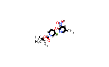 Cc1cnc(OC2CCN(C(=O)OC(C)(C)C)CC2F)c([N+](=O)[O-])c1